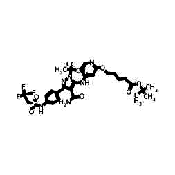 CC(C)(C)OC(=O)CCCCOc1cc(Nc2c(C(N)=O)c(-c3ccc(NS(=O)(=O)CC(F)(F)F)cc3)nn2C(C)(C)C)ccn1